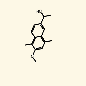 COc1cc(C)c2cc(C(C)O)ccc2c1C